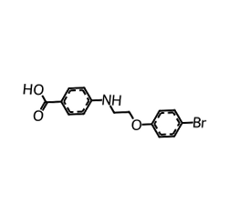 O=C(O)c1ccc(NCCOc2ccc(Br)cc2)cc1